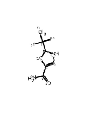 NC(=O)C1=CNC(C(F)(F)C(F)(F)F)S1